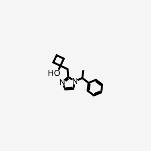 CC(c1ccccc1)n1ccnc1CC1(O)CCC1